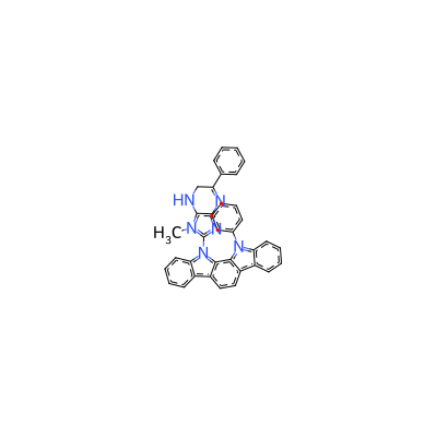 Cn1c(-n2c3ccccc3c3ccc4c5ccccc5n(-c5ccccc5)c4c32)nc2c1NCC(c1ccccc1)=N2